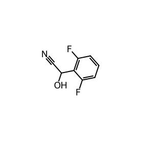 N#CC(O)c1c(F)cccc1F